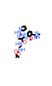 COc1c(Nc2nc(Nc3ccccn3)ncc2C(=O)NCCNC(=O)OC(C)(C)C)cccc1-c1ncn(C)n1